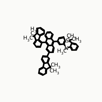 CN1c2ccccc2[Si](C)(C)c2ccc(-c3c4ccccc4c(-c4cccc5c4-c4ccccc4C5(C)C)c4cc(-c5ccc6c(c5)C(C)(C)c5ccccc5-6)ccc34)cc21